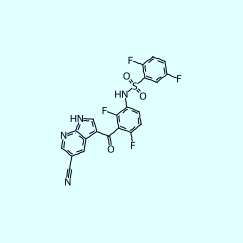 N#Cc1cnc2[nH]cc(C(=O)c3c(F)ccc(NS(=O)(=O)c4cc(F)ccc4F)c3F)c2c1